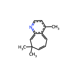 Cc1ccnc2c1=CC=CC(C)(C)C=2